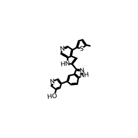 Cc1ccc(-c2cncc3[nH]c(-c4n[nH]c5ccc(-c6cncc(O)c6)cc45)cc23)s1